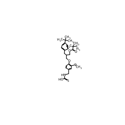 COc1cc(CNC(O)=S)ccc1OCC(COC(=O)C(C)(C)C)Cc1ccc(C(C)(C)C)cc1